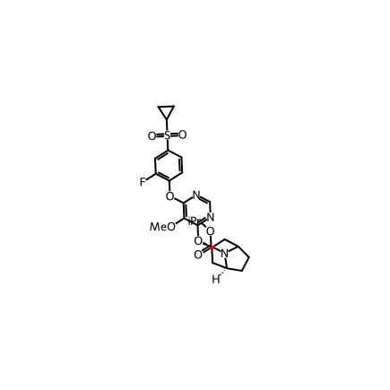 COc1c(Oc2ccc(S(=O)(=O)C3CC3)cc2F)ncnc1O[C@H]1CC2CC[C@@H](C1)N2C(=O)OC(C)C